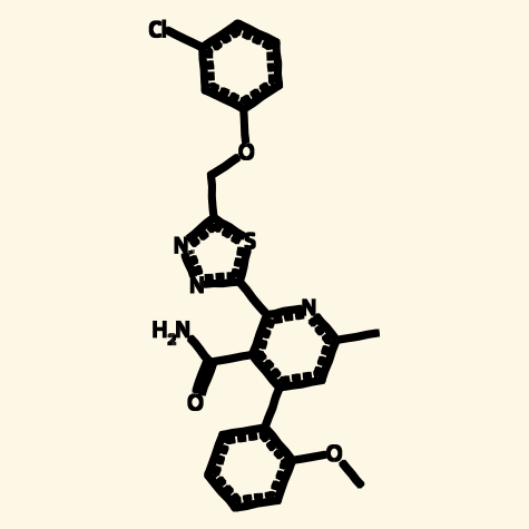 COc1ccccc1-c1cc(C)nc(-c2nnc(COc3cccc(Cl)c3)s2)c1C(N)=O